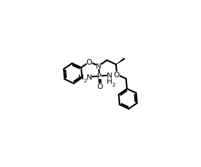 C[C@H](CN(Oc1ccccc1)P(N)(N)=O)OCc1ccccc1